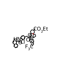 CCOC(=O)C1CCC(OC(C(=O)Cc2ccc(NC(=O)c3nccc4ccccc34)c(Cl)c2)(N2CCCC2)N2CCN(CC(F)(F)F)CC2)CC1